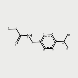 CCC(=O)NCc1ccc(C(C)C)cc1